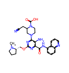 CN1CCC[C@H]1COc1nc(C(=O)Nc2cccc3ncccc23)c(N)c(N2CCN(C(=O)O)C(CC#N)C2)n1